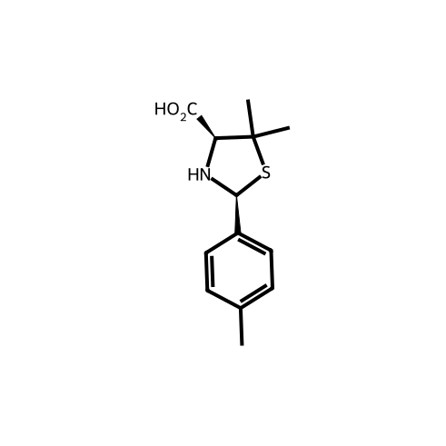 Cc1ccc([C@H]2N[C@@H](C(=O)O)C(C)(C)S2)cc1